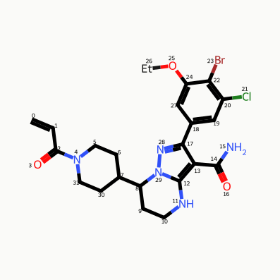 C=CC(=O)N1CCC(C2CCNc3c(C(N)=O)c(-c4cc(Cl)c(Br)c(OCC)c4)nn32)CC1